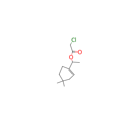 CC(OC(=O)CCl)C1=CCC(C)(C)CC1